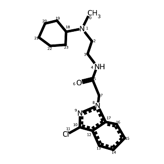 CN(CCNC(=O)Cn1nc(Cl)c2ccccc21)C1CCCCC1